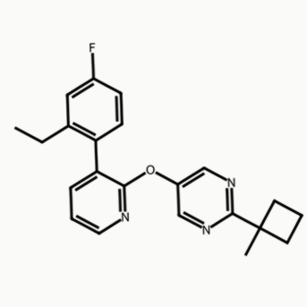 CCc1cc(F)ccc1-c1cccnc1Oc1cnc(C2(C)CCC2)nc1